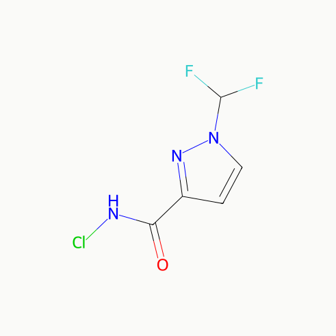 O=C(NCl)c1ccn(C(F)F)n1